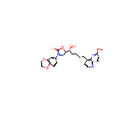 COc1ccc2nccc(CCCC[C@H](O)C3CN(c4ccc5c(c4)OCCO5)C(=O)O3)c2n1